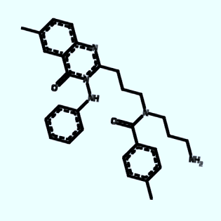 Cc1ccc(C(=O)N(CCCN)CCCc2nc3ccc(C)cc3c(=O)n2Nc2ccccc2)cc1